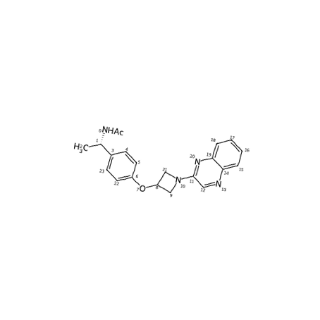 CC(=O)N[C@@H](C)c1ccc(OC2CN(c3cnc4ccccc4n3)C2)cc1